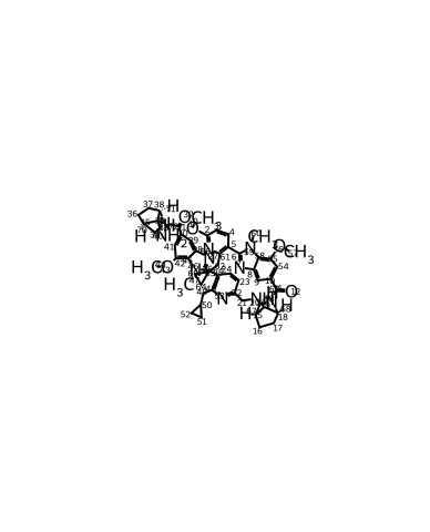 COc1ccc(-c2nc3cc(C(=O)N4C[C@H]5CC[C@@H]4[C@@H]5NCc4ccc(-c5nc6cc(C(=O)N7C[C@H]8CC[C@@H]7[C@@H]8N)cc(OC)c6n5C)c(CC5CC5)n4)cc(OC)c3n2C)c(CC2CC2)n1